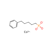 O=P([O-])([O-])CCCCCc1ccccc1.[Co+2]